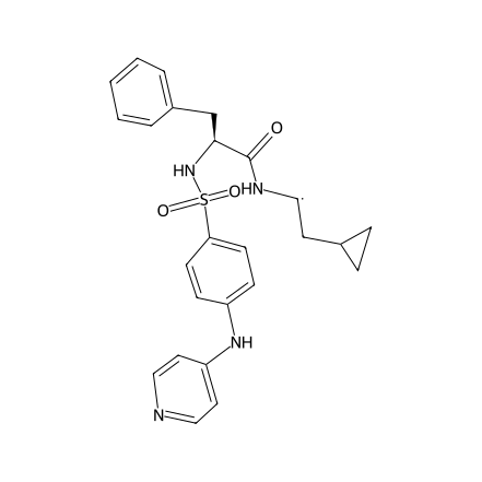 O=C(N[CH]CC1CC1)[C@H](Cc1ccccc1)NS(=O)(=O)c1ccc(Nc2ccncc2)cc1